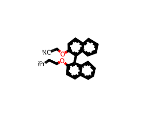 CC(C)CCOc1ccc2ccccc2c1-c1c(OCC#N)ccc2ccccc12